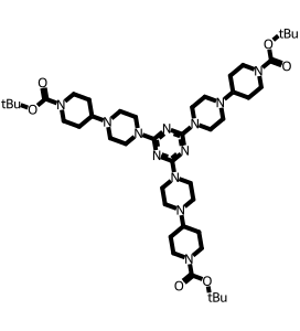 CC(C)(C)OC(=O)N1CCC(N2CCN(c3nc(N4CCN(C5CCN(C(=O)OC(C)(C)C)CC5)CC4)nc(N4CCN(C5CCN(C(=O)OC(C)(C)C)CC5)CC4)n3)CC2)CC1